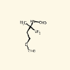 CC(C)(CCOC=O)NC=O